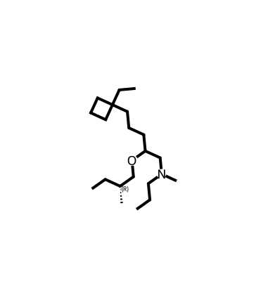 CCCN(C)CC(CCCC1(CC)CCC1)OC[C@H](C)CC